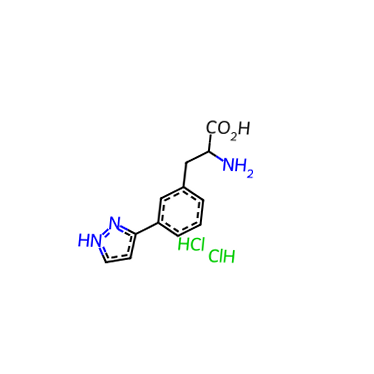 Cl.Cl.NC(Cc1cccc(-c2cc[nH]n2)c1)C(=O)O